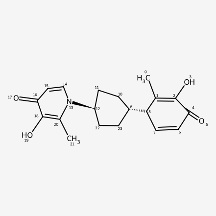 CC1=C(O)C(=O)C=CC1[C@H]1CC[C@H](n2ccc(=O)c(O)c2C)CC1